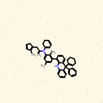 Bc1c(-c2cccc3c2Nc2ccccc2C3(C2=CCCCC2)c2ccccc2)cc(C)cc1N(C(=C)CC1=C(C)C=CC1)C1=CC=CCC1